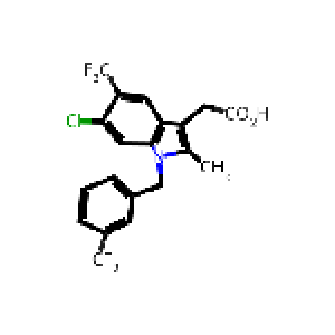 Cc1c(CC(=O)O)c2cc(C(F)(F)F)c(Cl)cc2n1Cc1cccc(C(F)(F)F)c1